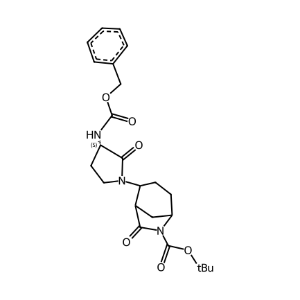 CC(C)(C)OC(=O)N1C(=O)C2CC1CCC2N1CC[C@H](NC(=O)OCc2ccccc2)C1=O